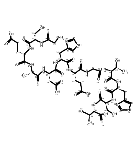 C[C@H](NC(=O)[C@H](CCC(=O)O)NC(=O)[C@H](CO)NC(=O)CN)C(=O)N[C@@H](CC(=O)O)C(=O)N[C@@H](Cc1c[nH]cn1)C(=O)N[C@@H](CCC(=O)O)C(=O)NCC(=O)N[C@H](C(=O)N[C@@H](Cc1c[nH]cn1)C(=O)N[C@@H](CO)C(=O)N[C@H](C(=O)O)[C@@H](C)O)[C@@H](C)O